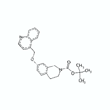 CC(C)(C)OC(=O)N1CCc2ccc(OCc3ccnc4ccccc34)cc2C1